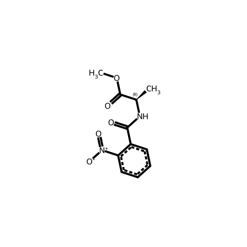 COC(=O)[C@@H](C)NC(=O)c1ccccc1[N+](=O)[O-]